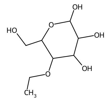 CCOC1C(CO)OC(O)C(O)C1O